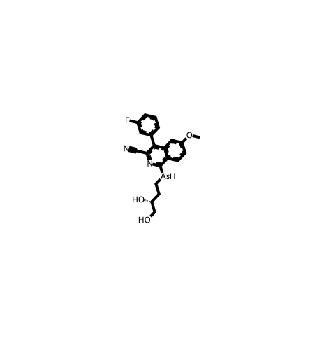 COc1ccc2c([AsH]CC[C@@H](O)CO)nc(C#N)c(-c3cccc(F)c3)c2c1